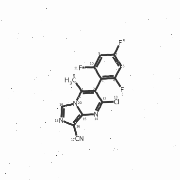 Cc1c(-c2c(F)cc(F)cc2F)c(Cl)nc2c(C#N)ncn12